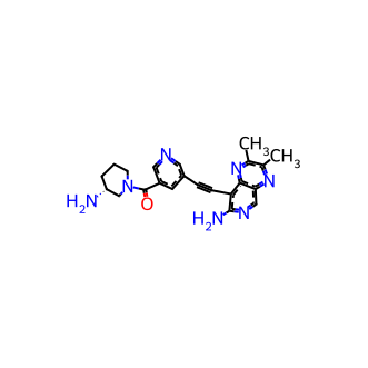 Cc1nc2cnc(N)c(C#Cc3cncc(C(=O)N4CCC[C@@H](N)C4)c3)c2nc1C